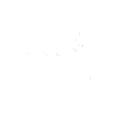 CCOC(=O)N1CCN(C(C#Cc2cccc(Cl)c2)CNC(=O)OC(C)(C)C)CC1